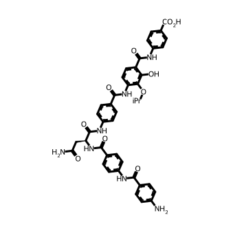 CC(C)Oc1c(NC(=O)c2ccc(NC(=O)[C@H](CC(N)=O)NC(=O)c3ccc(NC(=O)c4ccc(N)cc4)cc3)cc2)ccc(C(=O)Nc2ccc(C(=O)O)cc2)c1O